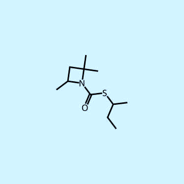 CCC(C)SC(=O)N1C(C)CC1(C)C